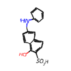 O=S(=O)(O)c1ccc2cc(Nc3ccccc3)ccc2c1O